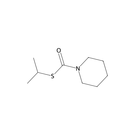 CC(C)SC(=O)N1CCCCC1